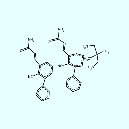 CC(C)(CN)CN.N#Cc1c(C=CC(N)=O)cccc1-c1ccccc1.N#Cc1c(C=CC(N)=O)cccc1-c1ccccc1